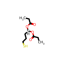 CCC(=O)O[SiH](CCCS)OC(=O)CC